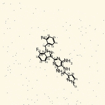 CC(Nc1c(N)nc(-c2nn(Cc3ccccc3F)c3c(F)cccc23)nc1N)c1ccn(C)n1